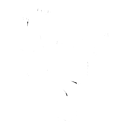 C[C@H](O[C@@H]1CCN(C(=O)[C@H]2CC[C@H](NC(=O)O)CC2)C[C@@H]1c1ccccc1)c1cc(C(F)(F)F)cc(C(F)(F)F)c1